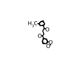 Cc1cccc(C(=O)CCC(=O)c2ccc3c(c2)OCO3)c1